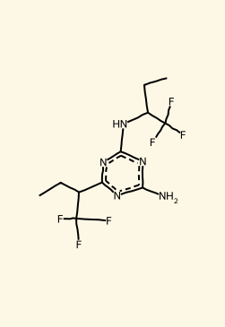 CCC(Nc1nc(N)nc(C(CC)C(F)(F)F)n1)C(F)(F)F